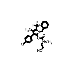 Cc1c(-c2ccc(Cl)cc2)c(OC(=O)N(C)CCO)n(Cc2ccccc2)c1C(F)(F)F